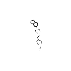 CC(=O)CN1CCC(CCN2CCN(c3ccc4c(c3)CCC4)CC2)CC1